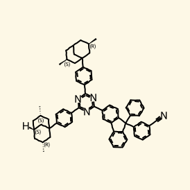 C[C@@H]1CC2C[C@H](C)CC(c3ccc(-c4nc(-c5ccc(C67C[C@H](C)C[C@H](C[C@H](C)C6)C7)cc5)nc(-c5ccc6c(c5)-c5ccccc5C6(c5ccccc5)c5cccc(C#N)c5)n4)cc3)(C2)C1